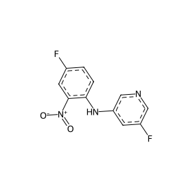 O=[N+]([O-])c1cc(F)ccc1Nc1cncc(F)c1